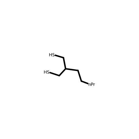 CCCCCC(CS)CS